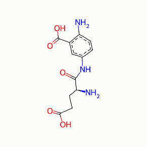 Nc1ccc(NC(=O)[C@@H](N)CCC(=O)O)cc1C(=O)O